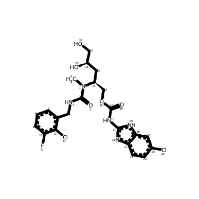 CN(C(=O)NCc1cccc(F)c1Cl)[C@H](COC(=O)Nc1nc2ccc(Cl)cc2[nH]1)C[C@@H](O)CO